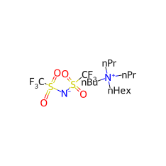 CCCCCC[N+](CCC)(CCC)CCCC.O=S(=O)([N-]S(=O)(=O)C(F)(F)F)C(F)(F)F